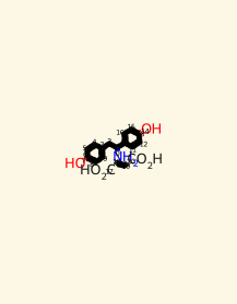 NC(Cc1ccc(O)cc1)c1ccc(O)cc1.O=C(O)C=CC(=O)O